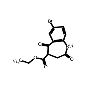 CCOC(=O)C1CC(=O)Nc2ccc(Br)cc2C1=O